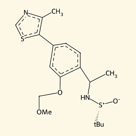 COCOc1cc(-c2scnc2C)ccc1C(C)N[S@+]([O-])C(C)(C)C